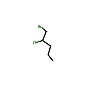 CCCC(Cl)[CH]Br